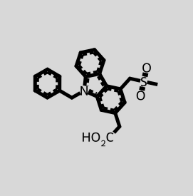 CS(=O)(=O)Cc1cc(CC(=O)O)cc2c1c1ccccc1n2Cc1ccccc1